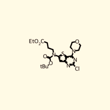 CCOC(=O)CCCN(C(=O)OC(C)(C)C)c1cc2nc(Cl)nc(N3CCOCC3)c2s1